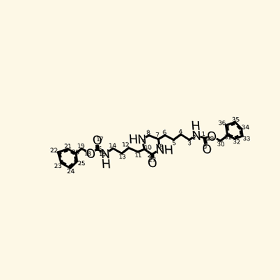 O=C(NCCCCC1CNC(CCCCNC(=O)OCc2ccccc2)C(=O)N1)OCc1ccccc1